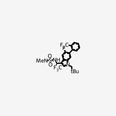 CNS(=O)(=O)N[C@@H](c1cn(CC(C)(C)C)c2cc(-c3ccccc3C(F)(F)F)c(F)cc12)C(F)(F)F